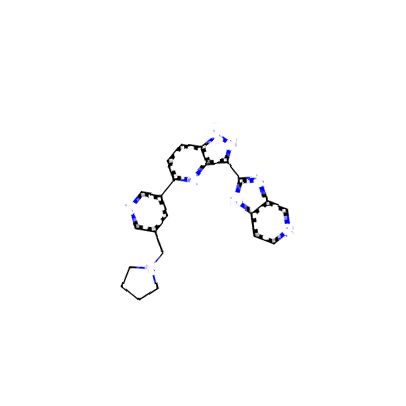 c1cc2[nH]c(-c3n[nH]c4ccc(-c5cncc(CN6CCCC6)c5)nc34)nc2cn1